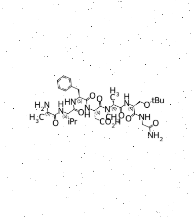 CC(C)[C@H](NC(=O)[C@H](C)N)C(=O)N[C@@H](Cc1ccccc1)C(=O)N[C@@H](CC(=O)O)C(=O)N(C)[C@@H](C)C(=O)N[C@@H](COC(C)(C)C)C(=O)NCC(N)=O